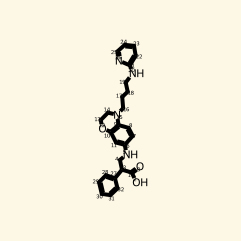 O=C(O)C(CNc1ccc2c(c1)OCCN2CCCCNc1ccccn1)c1ccccc1